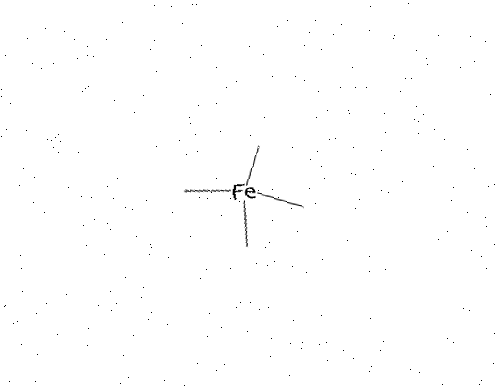 [CH3][Fe]([CH3])([CH3])[CH3]